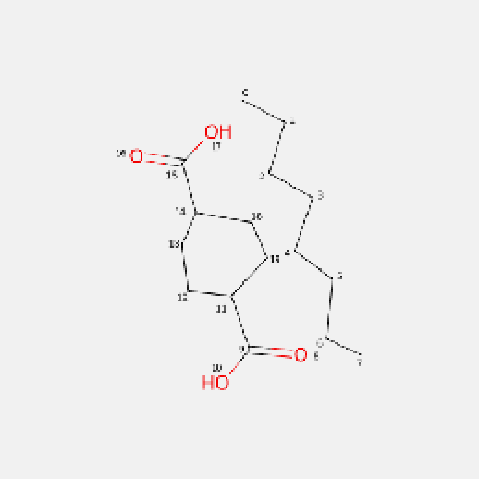 CCCCCCCC.O=C(O)C1CCC(C(=O)O)CC1